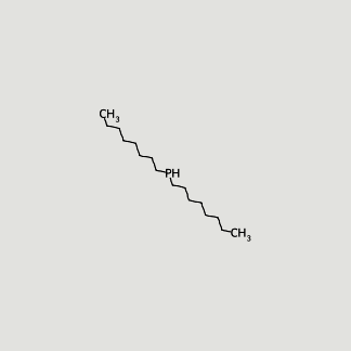 CCCCCCCCPCCCCCCCC